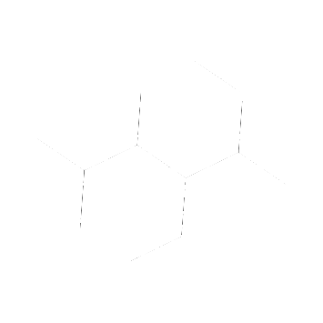 CCC(C)C(CC)C(C)C(C)C